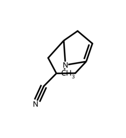 CN1C2=CCC1CC(C#N)C2